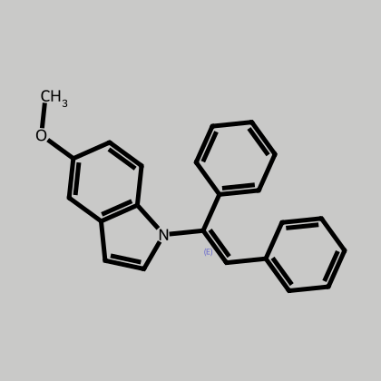 COc1ccc2c(ccn2/C(=C/c2ccccc2)c2ccccc2)c1